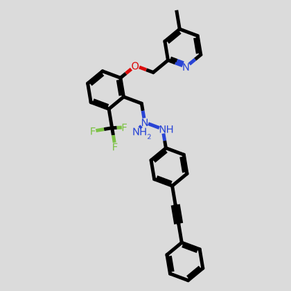 Cc1ccnc(COc2cccc(C(F)(F)F)c2CN(N)Nc2ccc(C#Cc3ccccc3)cc2)c1